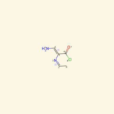 C/C=N\C(=C/N)C(=O)Cl